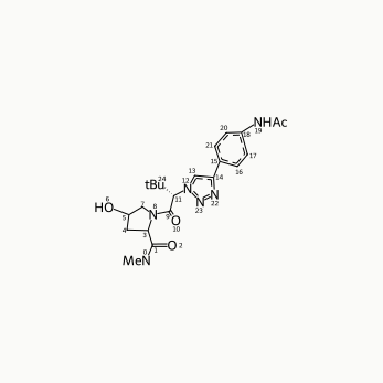 CNC(=O)C1CC(O)CN1C(=O)[C@@H](n1cc(-c2ccc(NC(C)=O)cc2)nn1)C(C)(C)C